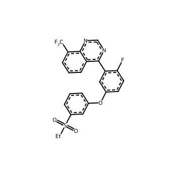 CCS(=O)(=O)c1cccc(Oc2ccc(F)c(-c3ncnc4c(C(F)(F)F)cccc34)c2)c1